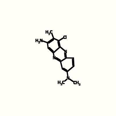 Cc1c(N)cc2nc3cc(N(C)C)ccc3nc2c1Cl